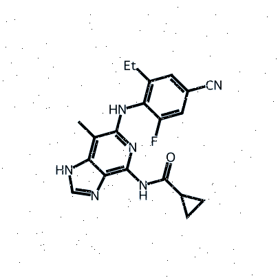 CCc1cc(C#N)cc(F)c1Nc1nc(NC(=O)C2CC2)c2nc[nH]c2c1C